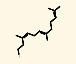 CC(C)=CCCC(C)=CCC=C(C)CCI